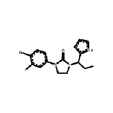 CCC(c1ccc[nH]1)N1CCN(c2ccc(Br)c(F)c2)C1=O